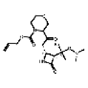 C=CCOC(=O)N1CCSCC1C(=O)C[C@H]1NC(=O)[C@@H]1[C@@](C)(O[SiH](C)C)C(C)(C)C